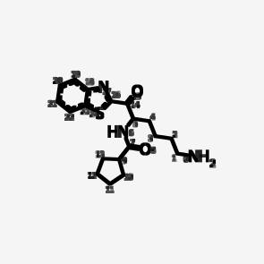 NCCCCC(NC(=O)C1CCCC1)C(=O)c1nc2ccccc2s1